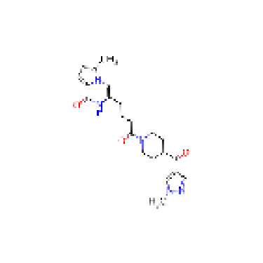 Cc1ccc2c(=O)[nH]c(CCCC(=O)N3CCC(C(=O)c4cnn(C)c4)CC3)cn12